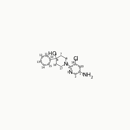 Nc1cnc(N2CCC(O)(c3ccccc3)CC2)c(Cl)c1